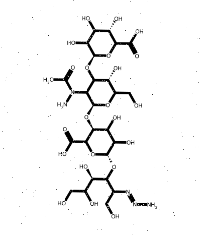 CC(=O)N(N)C1C(O[C@@H]2OC(C(=O)O)[C@@H](O)C(O)C2O)[C@H](O)C(CO)O[C@H]1O[C@@H]1C(C(=O)O)O[C@@H](OC(C(CO)N=NN)[C@H](O)C(O)CO)C(O)C1O